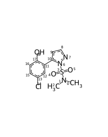 CN(C)S(=O)(=O)n1nccc1-c1cc(Cl)ccc1O